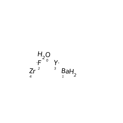 O.[BaH2].[F].[Y].[Zr]